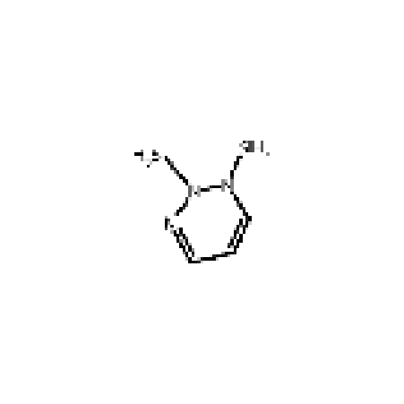 [SiH3]N1C=CC=NN1[SiH3]